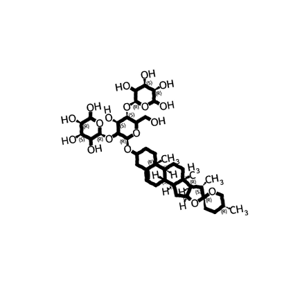 C[C@@H]1CC[C@@]2(OC1)O[C@H]1C[C@H]3[C@@H]4CC=C5CC(O[C@@H]6OC(CO)[C@@H](O[C@@H]7OC(O)[C@H](O)[C@H](O)C7O)[C@H](O)C6O[C@@H]6OC(O)[C@H](O)[C@H](O)C6O)CC[C@]5(C)[C@H]4CC[C@]3(C)[C@H]1[C@@H]2C